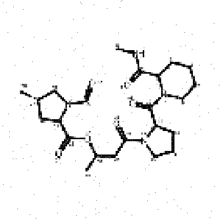 CNC(=O)C1CCCCN1C(=O)C1CCCN1C(=O)CC(C)OC(=O)C1C[C@@H](C)CN1C=O